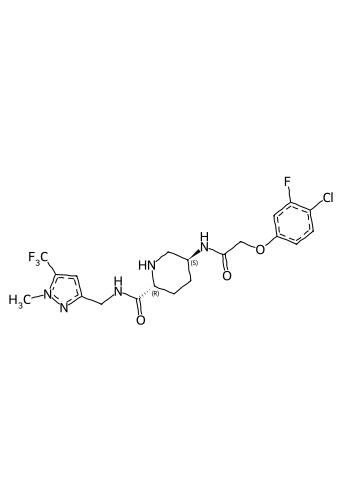 Cn1nc(CNC(=O)[C@H]2CC[C@H](NC(=O)COc3ccc(Cl)c(F)c3)CN2)cc1C(F)(F)F